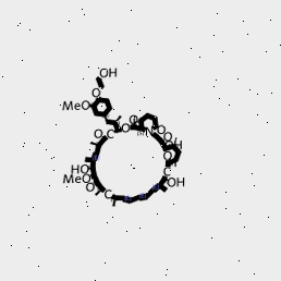 COC1C(=O)[C@H](C)C[C@H](C)/C=C/C=C/C=C(\C)[C@@H](O)C[C@@H]2CC[C@@H](C)[C@@](O)(O2)C(=O)C(=O)N2CCCC[C@H]2C(=O)O[C@H]([C@H](C)C[C@@H]2CCC(OCCO)[C@H](OC)C2)CC(=O)[C@H](C)/C=C(\C)[C@H]1O